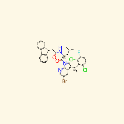 CC(C)C[C@H](NC(=O)CC1c2ccccc2-c2ccccc21)C(=O)n1cc([C@H](C)c2c(Cl)ccc(F)c2Cl)c2cc(Br)cnc21